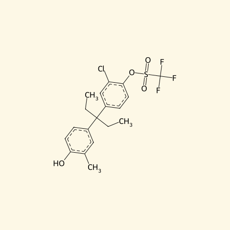 CCC(CC)(c1ccc(O)c(C)c1)c1ccc(OS(=O)(=O)C(F)(F)F)c(Cl)c1